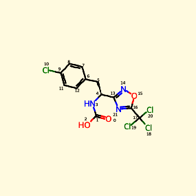 O=C(O)N[C@@H](Cc1ccc(Cl)cc1)c1noc(C(Cl)(Cl)Cl)n1